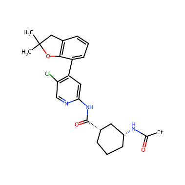 CCC(=O)N[C@@H]1CCC[C@H](C(=O)Nc2cc(-c3cccc4c3OC(C)(C)C4)c(Cl)cn2)C1